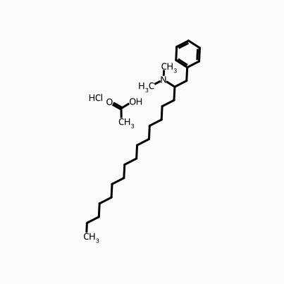 CC(=O)O.CCCCCCCCCCCCCCCC(Cc1ccccc1)N(C)C.Cl